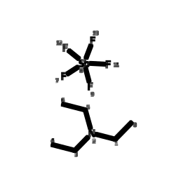 CCN(CC)CC.[F][Sb]([F])([F])([F])[F]